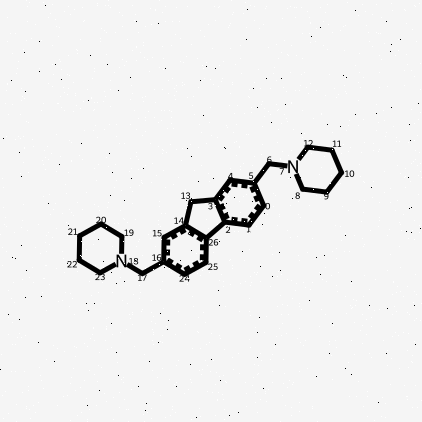 c1cc2c(cc1CN1CCCCC1)Cc1cc(CN3CCCCC3)ccc1-2